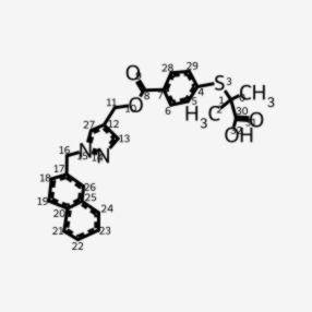 CC(C)(Sc1ccc(C(=O)OCc2cnn(Cc3ccc4ccccc4c3)c2)cc1)C(=O)O